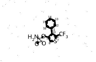 NS(=O)(=O)Oc1csc(C(F)(F)F)c1-c1ccccc1